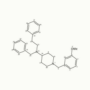 COc1cccc(CN2CCC(N(CCc3ccccc3)Cc3ccccc3)CC2)c1